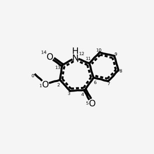 COc1cc(=O)c2ccccc2[nH]c1=O